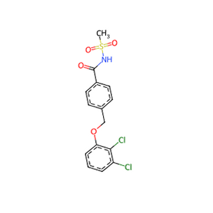 CS(=O)(=O)NC(=O)c1ccc(COc2cccc(Cl)c2Cl)cc1